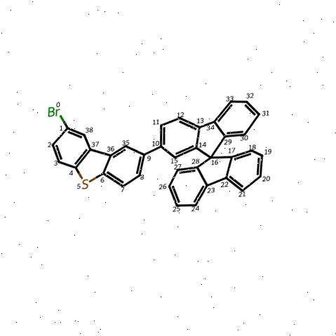 Brc1ccc2sc3ccc(-c4ccc5c(c4)C4(c6ccccc6-c6ccccc64)c4ccccc4-5)cc3c2c1